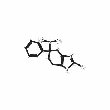 CN(C)C1(c2ccccc2)CCc2sc(N)nc2C1